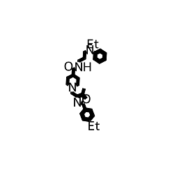 CCc1ccc(-c2nc(CN3CCC(C(=O)NCCCN(CC)c4ccccc4)CC3)c(C)o2)cc1